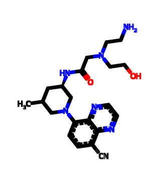 CC1C[C@@H](NC(=O)CN(CCN)CCO)CN(c2ccc(C#N)c3nccnc23)C1